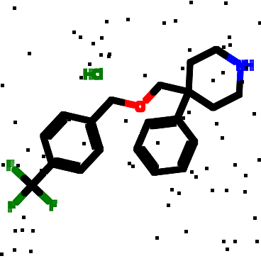 Cl.FC(F)(F)c1ccc(COCC2(c3ccccc3)CCNCC2)cc1